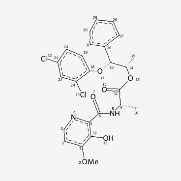 COc1ccnc(C(=O)N[C@@H](C)C(=O)O[C@@H](C)[C@H](Oc2ccc(Cl)cc2Cl)c2ccccc2)c1O